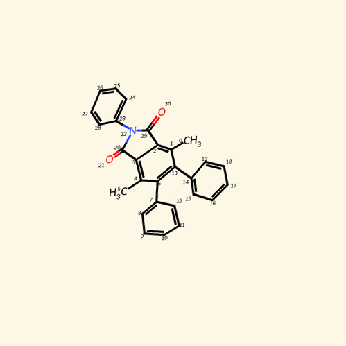 Cc1c2c(c(C)c(-c3ccccc3)c1-c1ccccc1)C(=O)N(c1ccccc1)C2=O